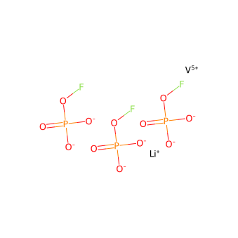 O=P([O-])([O-])OF.O=P([O-])([O-])OF.O=P([O-])([O-])OF.[Li+].[V+5]